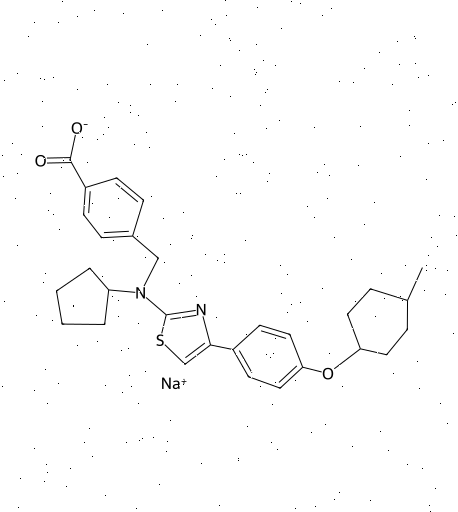 CC1CCC(Oc2ccc(-c3csc(N(Cc4ccc(C(=O)[O-])cc4)C4CCCC4)n3)cc2)CC1.[Na+]